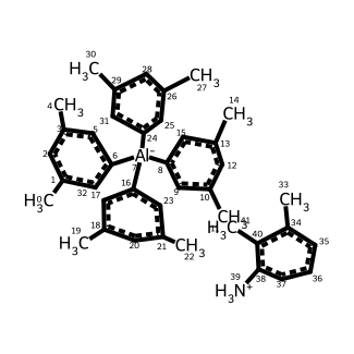 Cc1cc(C)c[c]([Al-]([c]2cc(C)cc(C)c2)([c]2cc(C)cc(C)c2)[c]2cc(C)cc(C)c2)c1.Cc1cccc([NH3+])c1C